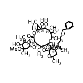 CO[C@H]1[C@H](O[C@@H]2[C@@H](C)[C@H](O[C@H]3C[C@@](C)(OC)[C@@H](O)[C@H](C)O3)[C@@H](C)C(=O)O[C@@H]3C(C)[C@]3(O)[C@H](O)[C@@H](C)C(=O)[C@H](C)C[C@]2(C)OC)O[C@H](C)C[C@@H]1N(C)CCCOCc1ccccc1